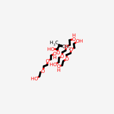 C=C(C)C(=O)O.OCCOCCOCCO.OCCOCCOCCO.OCCOCCOCCO